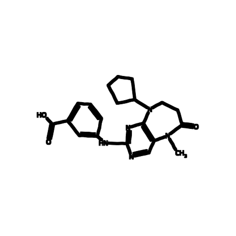 CN1C(=O)CCN(C2CCCC2)c2nc(Nc3cccc(C(=O)O)c3)ncc21